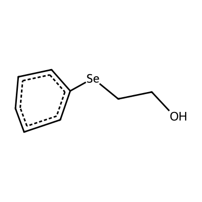 OCC[Se]c1ccccc1